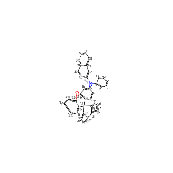 c1ccc(N(c2ccc3c(c2)Oc2ccccc2C32c3ccccc3-c3ccccc32)c2ccc3ccccc3c2)cc1